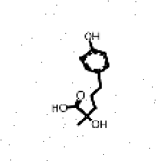 CC(O)(CCCc1ccc(O)cc1)C(=O)O